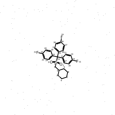 O=S(=O)(CC1CCCCC1)C(c1ccc(F)cc1)(c1ccc(F)cc1)c1ccc(F)cc1